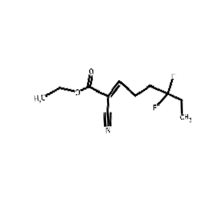 CCOC(=O)C(C#N)=CCCC(F)(F)CC